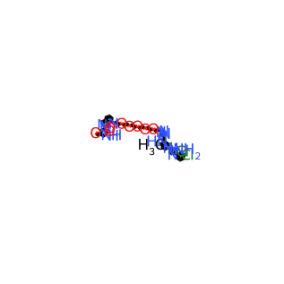 CC1(NCc2cn(CCOCCOCCOCCOCCOCCNc3cccc4cnn(C5CC(C=O)CNC5=O)c(=O)c34)nn2)CCN(c2cnc(-c3cccc(Cl)c3Cl)c(N)n2)CC1